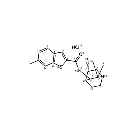 Cc1ccc2cc(C(=O)N[C@@H]3C4CCN(CC4)C3(C)C)sc2c1.Cl